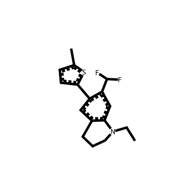 CCN1CCCc2cc(-c3ccc(C)s3)c(C(F)F)cc21